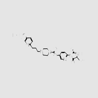 CC(C)C1NC(=S)N(c2ccc(OC(=O)N3CCN(CCCc4ccc(C(=O)O)cn4)CC3)cn2)C1=O